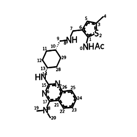 CC(=O)Nc1sc(C)cc1CNC[C@H]1CC[C@@H](Nc2nc(N(C)C)c3ccccc3n2)CC1